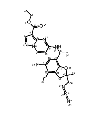 CCOC(=O)c1cnn2ccc(N[C@H](C)c3cc(F)c(F)c4c3OC(C)(CN=[N+]=[N-])C4)nc12